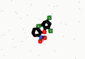 O=[N+]([O-])c1ccccc1Oc1c(Cl)cc(Cl)cc1Cl